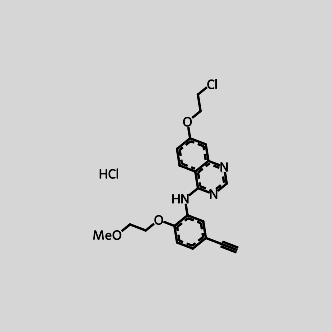 C#Cc1ccc(OCCOC)c(Nc2ncnc3cc(OCCCl)ccc23)c1.Cl